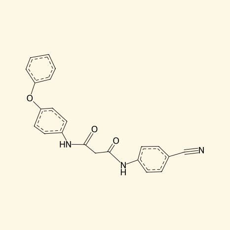 N#Cc1ccc(NC(=O)CC(=O)Nc2ccc(Oc3ccccc3)cc2)cc1